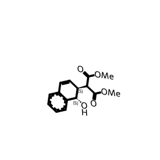 COC(=O)C(C(=O)OC)[C@@H]1C=Cc2ccccc2[C@H]1O